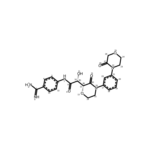 N=C(N)c1ccc(NC(=O)[C@H](O)[C@H]2OCCN(c3cccc(N4CCOCC4=O)c3)C2=O)cc1